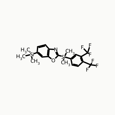 C[Si](C)(C)c1ccc2nc([Si](C)(C)c3ccc(C(F)(F)F)c(C(F)(F)F)c3)oc2c1